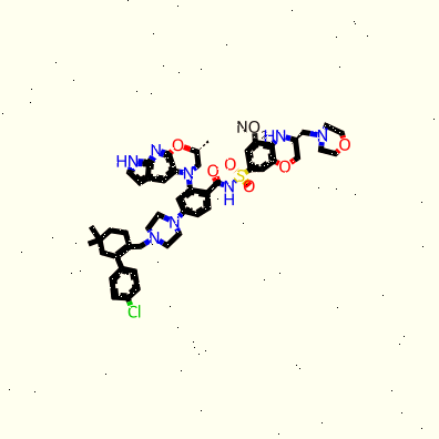 C[C@@H]1CN(c2cc(N3CCN(CC4=C(c5ccc(Cl)cc5)CC(C)(C)CC4)CC3)ccc2C(=O)NS(=O)(=O)c2cc3c(c([N+](=O)[O-])c2)N[C@@H](CN2CCOCC2)CO3)c2cc3cc[nH]c3nc2O1